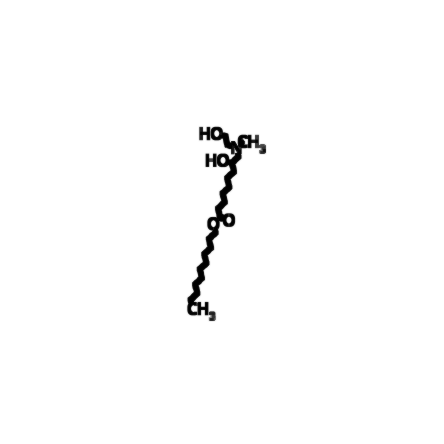 CCCCCCCCCCCOC(=O)CCCCCCC(O)CN(C)CCO